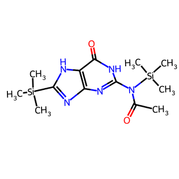 CC(=O)N(c1nc2nc([Si](C)(C)C)[nH]c2c(=O)[nH]1)[Si](C)(C)C